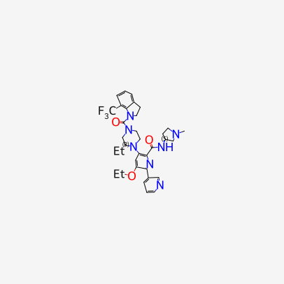 CCOc1cc(N2CCN(C(=O)N3CCc4cccc(C(F)(F)F)c43)C[C@H]2CC)c(C(=O)N[C@H]2CCN(C)C2)nc1-c1cccnc1